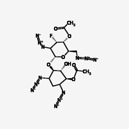 CC(=O)O[C@@H]1[C@@H](CN=[N+]=[N-])O[C@H](O[C@@H]2C(N=[N+]=[N-])CC(N=[N+]=[N-])[C@H](OC(C)=O)[C@H]2O)C(N=[N+]=[N-])[C@@H]1F